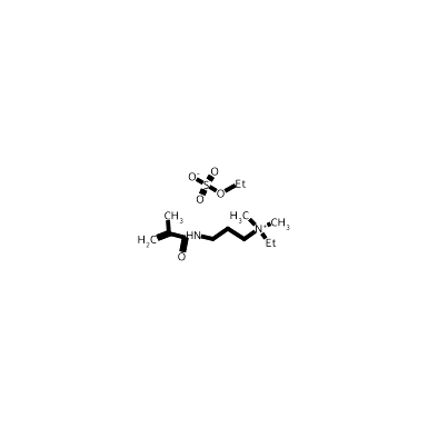 C=C(C)C(=O)NCCC[N+](C)(C)CC.CCOS(=O)(=O)[O-]